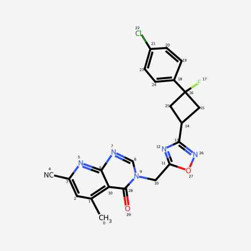 Cc1cc(C#N)nc2ncn(Cc3nc(C4CC(F)(c5ccc(Cl)cc5)C4)no3)c(=O)c12